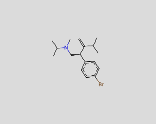 C=C(C(C)C)[C@H](CN(C)C(C)C)c1ccc(Br)cc1